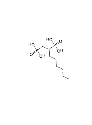 CCCCCCC(CP(=O)(O)O)P(=O)(O)O